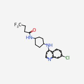 O=C(CCC(F)(F)F)NC1CCC(Nc2ccnc3cc(Cl)ccc23)CC1